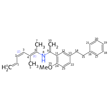 C=C/C=C\C(C)=C(/C)NC(=C)c1cc(CCc2ccccc2)ccc1OC